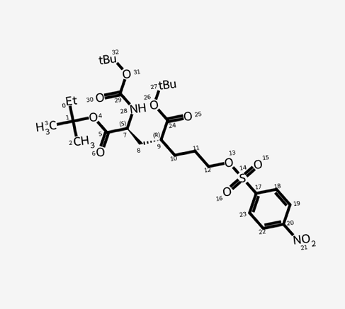 CCC(C)(C)OC(=O)[C@H](C[C@@H](CCCOS(=O)(=O)c1ccc([N+](=O)[O-])cc1)C(=O)OC(C)(C)C)NC(=O)OC(C)(C)C